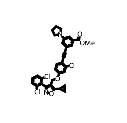 COC(=O)c1cc(C#Cc2ccc(OCc3c(-c4c(Cl)cccc4Cl)noc3C3CC3)cc2Cl)cc(N2CCCC2)c1